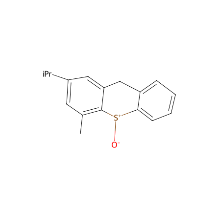 Cc1cc(C(C)C)cc2c1[S+]([O-])c1ccccc1C2